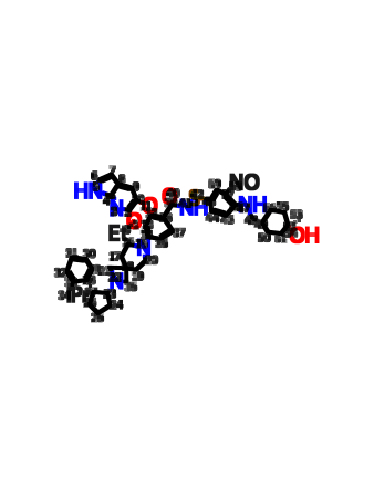 CCOc1nc2[nH]ccc2cc1Oc1cc(N2CCC3(CC2)CN([C@@H]2CCC[C@@H]2c2ccccc2C(C)C)C3)ccc1C(=O)NSc1ccc(NC[C@H]2CC[C@](C)(O)CC2)c(N=O)c1